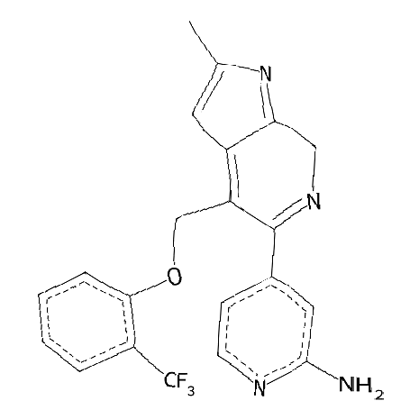 CC1=CC2=C(COc3ccccc3C(F)(F)F)C(c3ccnc(N)c3)=NCC2=N1